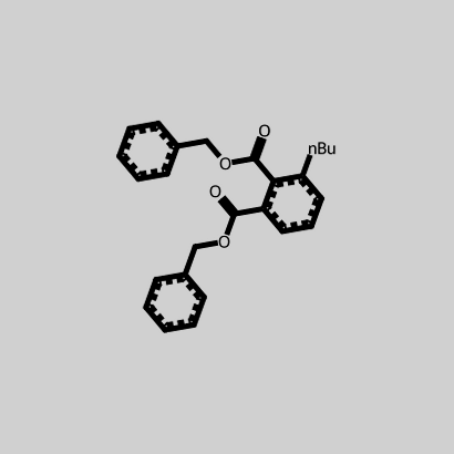 CCCCc1cccc(C(=O)OCc2ccccc2)c1C(=O)OCc1ccccc1